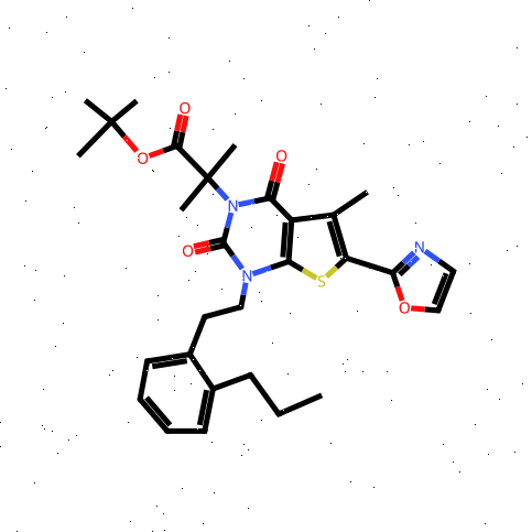 CCCc1ccccc1CCn1c(=O)n(C(C)(C)C(=O)OC(C)(C)C)c(=O)c2c(C)c(-c3ncco3)sc21